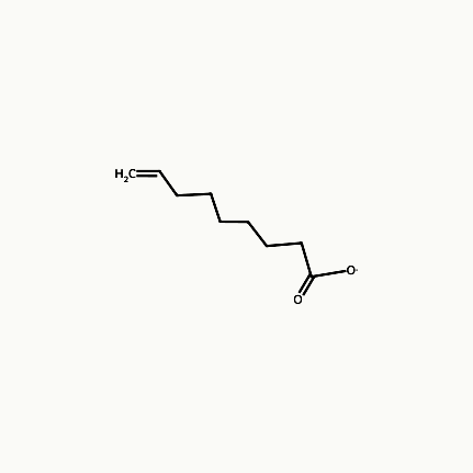 C=CCCCCCCC([O])=O